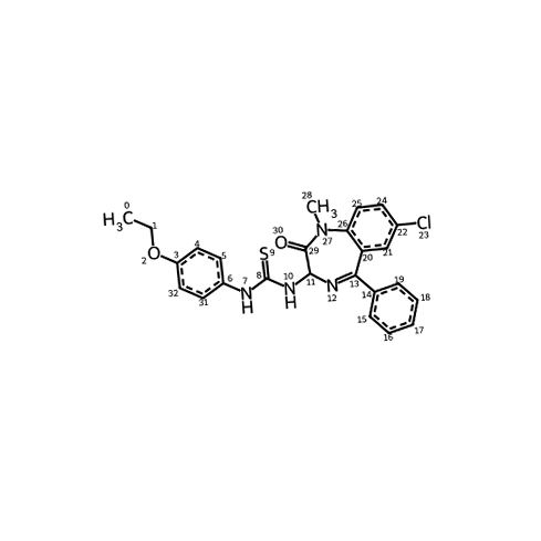 CCOc1ccc(NC(=S)NC2N=C(c3ccccc3)c3cc(Cl)ccc3N(C)C2=O)cc1